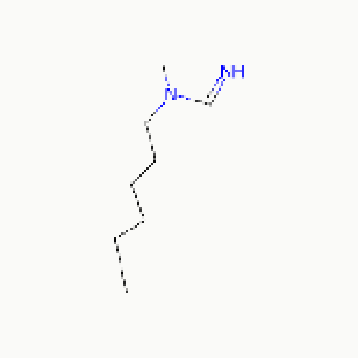 CCCCCCN(C)C=N